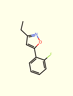 CCc1cc(-c2ccccc2F)on1